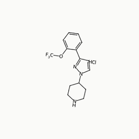 Cl.FC(F)(F)Oc1ccccc1-c1ccn(C2CCNCC2)n1